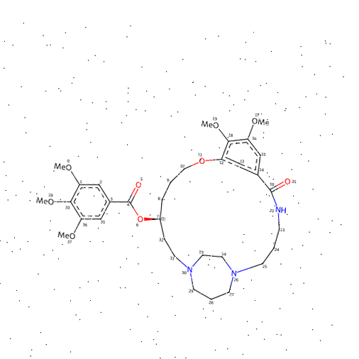 COc1cc(C(=O)O[C@H]2CCCOc3cc(cc(OC)c3OC)C(=O)NCCCN3CCCN(CC2)CC3)cc(OC)c1OC